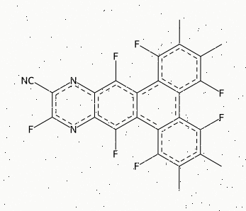 Cc1c(C)c(F)c2c(c1F)c1c(F)c(C)c(C)c(F)c1c1c(F)c3nc(C#N)c(F)nc3c(F)c21